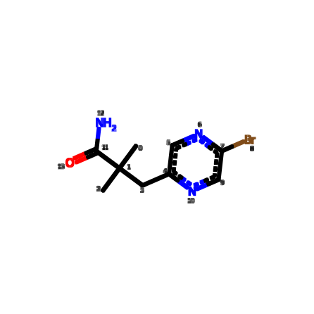 CC(C)(Cc1cnc(Br)cn1)C(N)=O